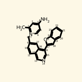 Cc1cc(N)cc[n+]1Cc1ccc2cncc(-c3cc4ccccc4o3)c2c1